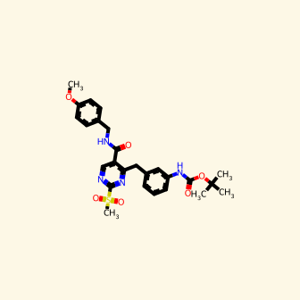 COc1ccc(CNC(=O)c2cnc(S(C)(=O)=O)nc2Cc2cccc(NC(=O)OC(C)(C)C)c2)cc1